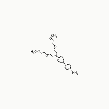 COCCOCCN(CCOCCOC)c1ccc(-c2ccc(N)cc2)cc1